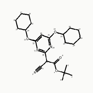 CC(C)(C)OC(=O)C(C#N)c1nc(OC2CCCCC2)cc(OC2CCCCC2)n1